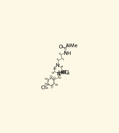 CNC(=O)NCCCN1CCN(Cc2ccc(Cl)cc2)CC1.Cl.Cl